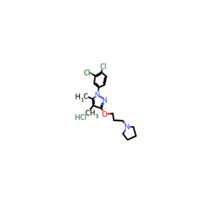 Cc1c(OCCCN2CCCC2)nn(-c2ccc(Cl)c(Cl)c2)c1C.Cl